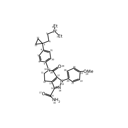 CCN(CC)CCC1(c2ccc(N3CCc4c(C(N)=O)nn(-c5ccc(OC)cc5)c4C3=O)cc2)CC1